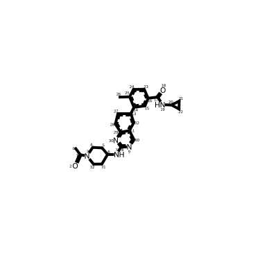 CC(=O)N1CCC(Nc2ncc3cc(-c4cc(C(=O)NC5CC5)ccc4C)ccc3n2)CC1